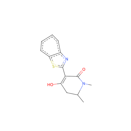 CC1CC(O)=C(c2nc3ccccc3s2)C(=O)N1C